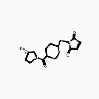 CC(C)(C)[C@H]1CCN(C(=O)C2CCC(CN3C(=O)C=CC3=O)CC2)C1